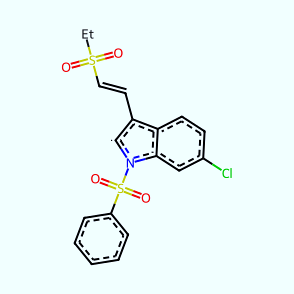 CCS(=O)(=O)C=Cc1[c]n(S(=O)(=O)c2ccccc2)c2cc(Cl)ccc12